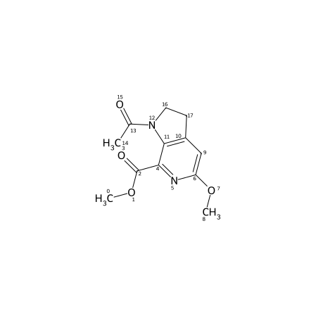 COC(=O)c1nc(OC)cc2c1N(C(C)=O)CC2